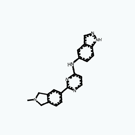 CN1Cc2ccc(-c3nccc(Nc4ccc5[nH]ncc5c4)n3)cc2C1